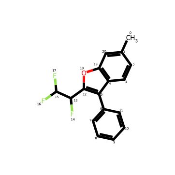 Cc1ccc2c(-c3ccccc3)c(C(F)C(F)F)oc2c1